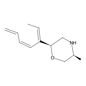 C=C/C=C\C(=C/C)[C@H]1CN[C@@H](C)CO1